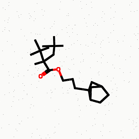 CC(C)(C)CC(C)(C(=O)OCCCC1CC2CCC1C2)C(C)(C)C